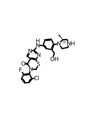 C[C@H]1CNCCN1c1ccc(Nc2ncc3c(n2)SCN(c2c(F)cccc2Cl)C3=O)cc1CO